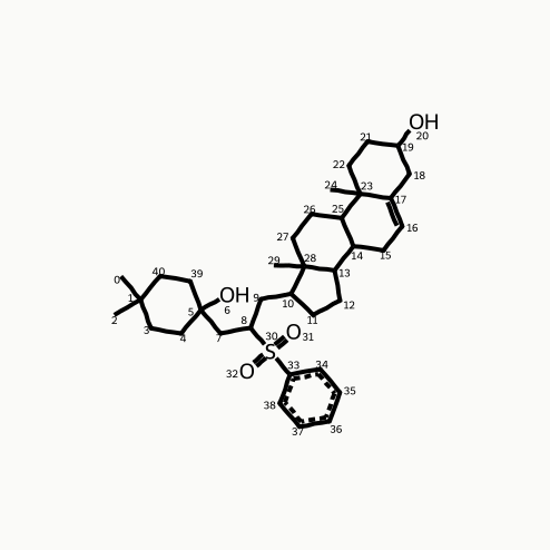 CC1(C)CCC(O)(CC(CC2CCC3C4CC=C5CC(O)CCC5(C)C4CCC23C)S(=O)(=O)c2ccccc2)CC1